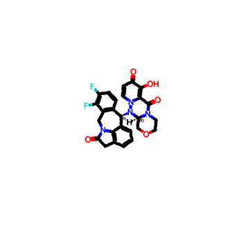 O=C1Cc2cccc3c2N1Cc1c(ccc(F)c1F)[C@H]3N1[C@@H]2COCCN2C(=O)c2c(O)c(=O)ccn21